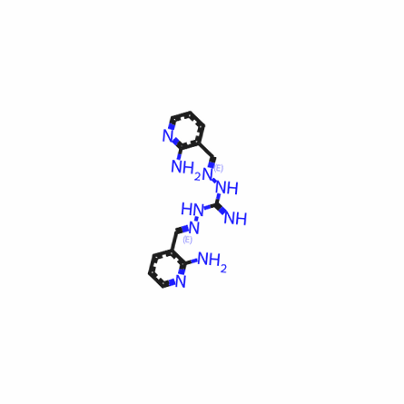 N=C(N/N=C/c1cccnc1N)N/N=C/c1cccnc1N